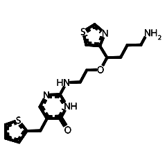 NCCCC(OCCNc1ncc(Cc2cccs2)c(=O)[nH]1)c1cscn1